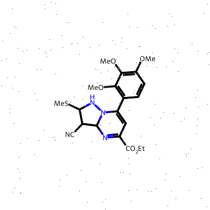 CCOC(=O)C1=NC2C(C#N)C(SC)NN2C(c2ccc(OC)c(OC)c2OC)=C1